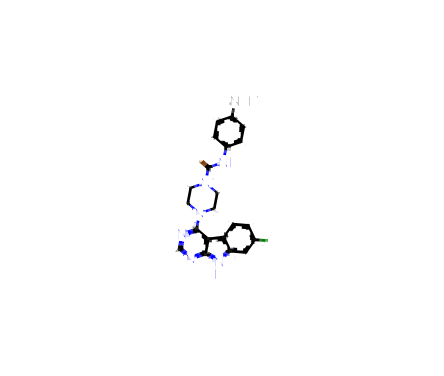 CC(=O)Nc1ccc(NC(=S)N2CCN(c3ncnc4[nH]c5cc(F)ccc5c34)CC2)cc1